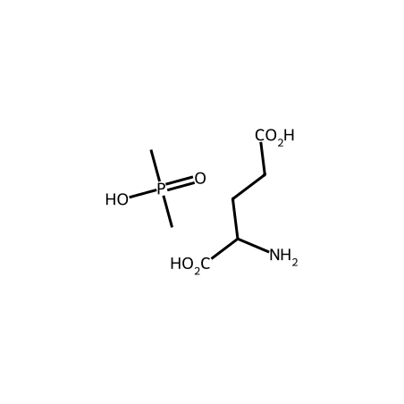 CP(C)(=O)O.NC(CCC(=O)O)C(=O)O